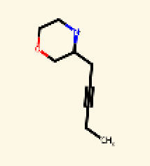 CCC#CCC1COCC[N]1